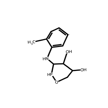 Cc1cc[c]cc1NC1POCC(O)C1O